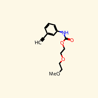 C#Cc1cccc(NC(=O)OCCOCCOC)c1